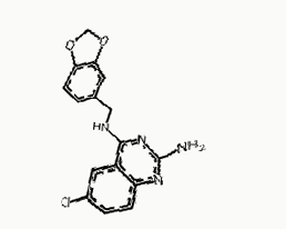 Nc1nc(NCc2ccc3c(c2)OCO3)c2cc(Cl)ccc2n1